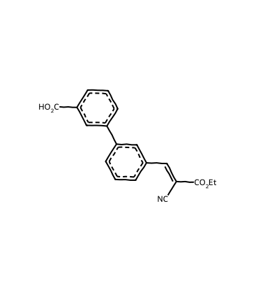 CCOC(=O)C(C#N)=Cc1cccc(-c2cccc(C(=O)O)c2)c1